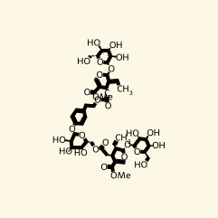 C=C[C@H]1[C@H](O[C@@H]2O[C@H](CO)[C@@H](O)[C@H](O)[C@H]2O)OC=C(C(=O)OC)[C@H]1CC(=O)OC[C@H]1O[C@@H](Oc2ccc(CCOC(=O)C[C@@H]3C(C(=O)OC)=CO[C@@H](O[C@@H]4O[C@H](CO)[C@@H](O)[C@H](O)[C@H]4O)/C3=C/C)cc2)[C@H](O)[C@@H](O)[C@@H]1O